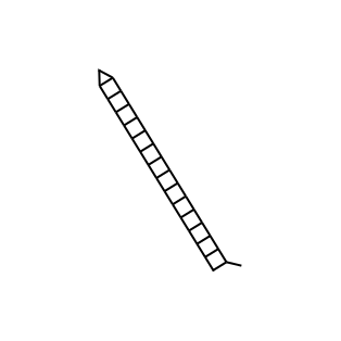 CC1CC2C1C1C2C2C1C1C2C2C1C1C2C2C3C4C5C6C7C8C9CC9C8C7C6C5C4C3C12